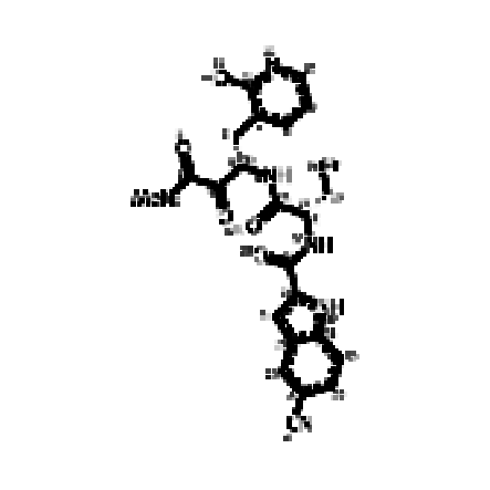 CNC(=O)C(=O)[C@H](Cc1cccnc1O)NC(=O)[C@H](CC(C)C)NC(=O)c1cc2cc(C#N)ccc2[nH]1